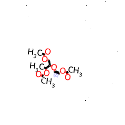 CC(=O)O/C=C\OC(COC(C)=O)C(C)OC(C)=O